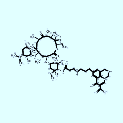 CC[C@H]1OC(=O)[C@H](C)[C@@H](O[C@H]2C[C@@](C)(OC)[C@@H](OC(=O)CCNCCCc3cc4c5c(c3)c(=O)c(C(=O)O)cn5COC4)[C@H](C)O2)[C@H](C)[C@@H](O[C@@H]2O[C@H](C)C[C@H](N(C)C)[C@H]2O)[C@](C)(OC)C[C@@H](C)C(=O)[C@H](C)[C@@H](O)[C@]1(C)O